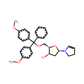 COc1ccc(C(OC[C@H]2O[C@@H](N3C=CCC3)C[C@H]2O)(c2ccccc2)c2ccc(OC)cc2)cc1